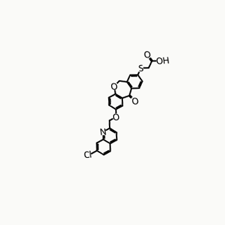 O=C(O)CSc1ccc2c(c1)COc1ccc(OCc3ccc4ccc(Cl)cc4n3)cc1C2=O